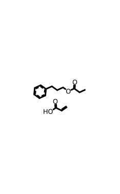 C=CC(=O)O.CCC(=O)OCCCc1ccccc1